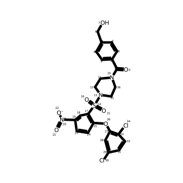 O=C(c1ccc(CO)cc1)N1CCN(S(=O)(=O)c2cc([N+](=O)[O-])ccc2Oc2cc(Cl)ccc2Cl)CC1